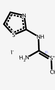 C/[S+]=C(\N)Nc1nccs1.[I-]